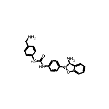 NCc1ccc(NC(=O)Nc2ccc(N3Oc4ccccc4C3N)cc2)cc1